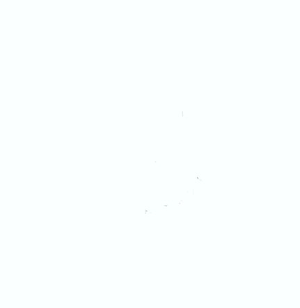 Cc1ccccc1OC(Oc1ccccc1C)(Oc1ccccc1C)c1ccccc1O